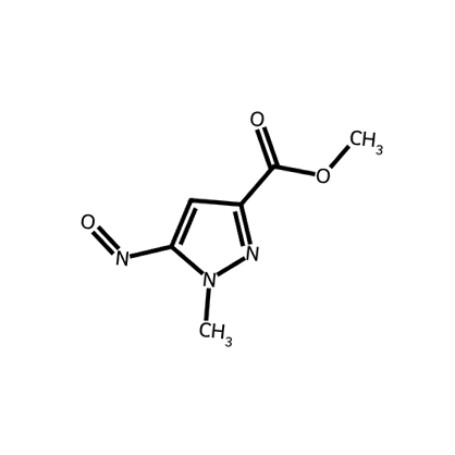 COC(=O)c1cc(N=O)n(C)n1